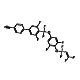 CCCCc1ccc(-c2cc(F)c(C(F)(F)Oc3cc(F)c(OC(F)(F)C=C(F)F)c(F)c3)c(F)c2)cc1